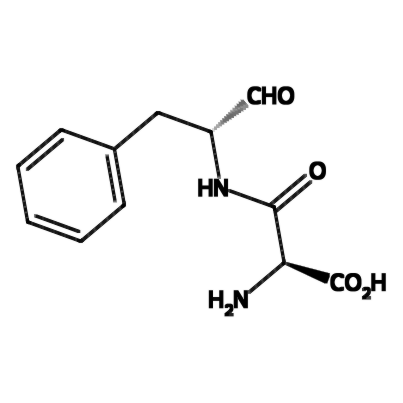 N[C@H](C(=O)O)C(=O)N[C@@H](C=O)Cc1ccccc1